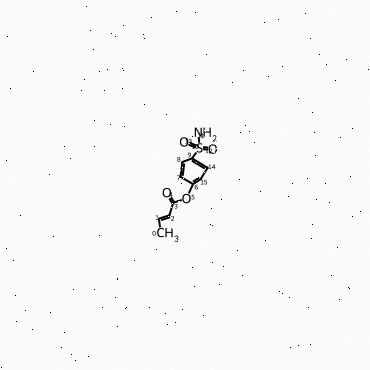 C/C=C/C(=O)Oc1ccc(S(N)(=O)=O)cc1